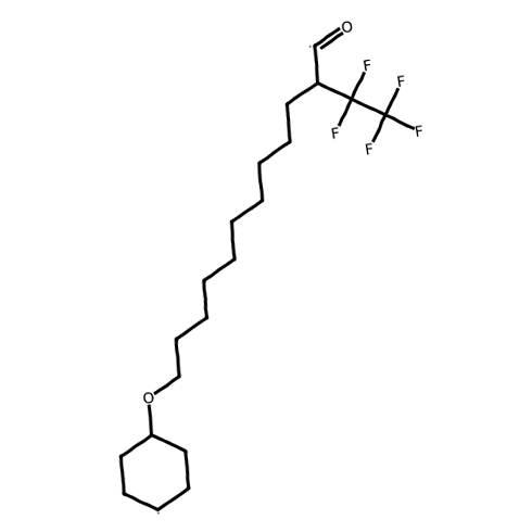 O=[C]C(CCCCCCCCCCOC1CC[CH]CC1)C(F)(F)C(F)(F)F